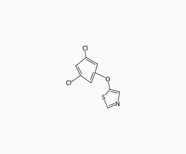 Clc1cc(Cl)cc(Oc2cncs2)c1